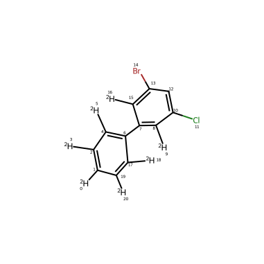 [2H]c1c([2H])c([2H])c(-c2c([2H])c(Cl)cc(Br)c2[2H])c([2H])c1[2H]